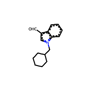 O=Cc1cn(CC2CCCCC2)c2ccccc12